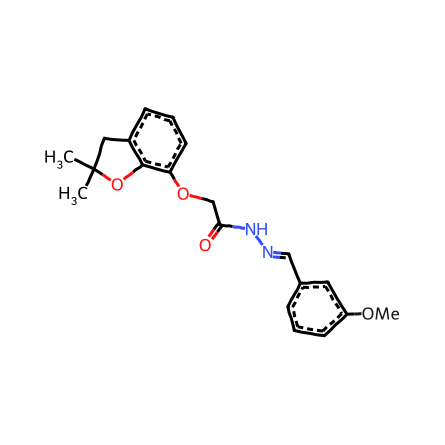 COc1cccc(C=NNC(=O)COc2cccc3c2OC(C)(C)C3)c1